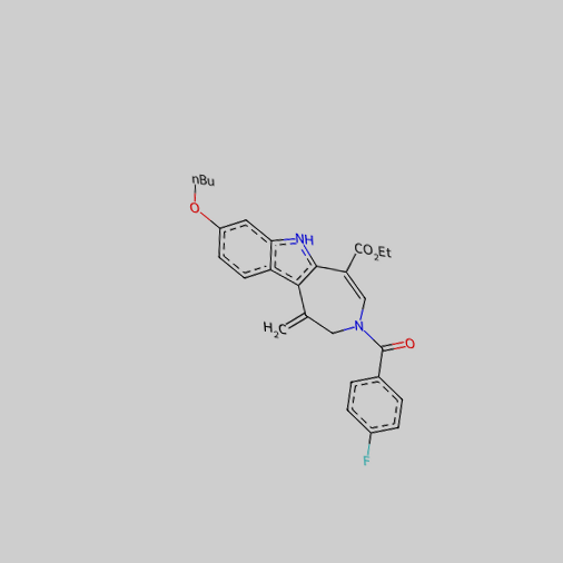 C=C1CN(C(=O)c2ccc(F)cc2)C=C(C(=O)OCC)c2[nH]c3cc(OCCCC)ccc3c21